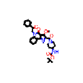 COc1c(C(=O)N2CCC(NC(=O)OC(C)(C)C)CC2)n(C)c2c1c(=O)n(CC(=O)c1ccccc1)c1ccccc21